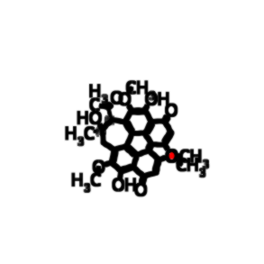 COc1c(O)c2c(=O)cc(OC)c3c4c(OC)cc(=O)c5c(O)c(OC)c6c(c(c1C[C@@](C)(O)[C@H]6C(C)=O)c23)c54